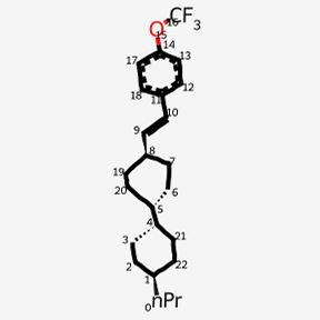 CCC[C@H]1CC[C@H]([C@H]2CC[C@H](C=Cc3ccc(OC(F)(F)F)cc3)CC2)CC1